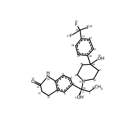 CC[C@](O)(c1ccc2c(c1)CCC(=O)N2)N1CCC(O)(c2ccc(C(F)(F)F)cc2)CC1